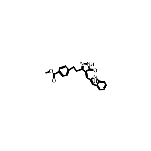 COC(=O)c1ccc(CCC2=NNC(=O)C2=Cc2cc3ccccc3[nH]2)cc1